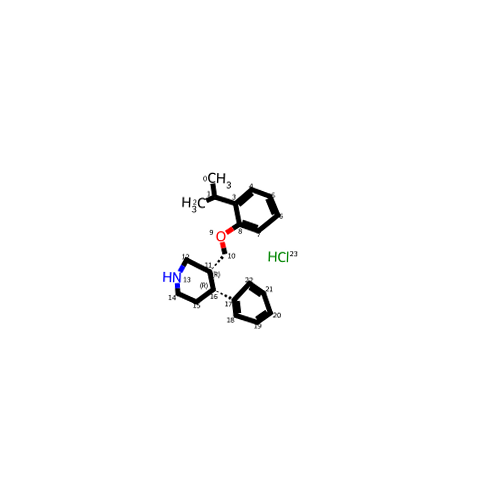 CC(C)c1ccccc1OC[C@H]1CNCC[C@H]1c1ccccc1.Cl